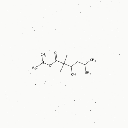 CC(N)CC(O)C(F)(F)C(=O)ON(C)C